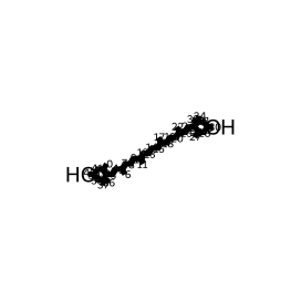 CC1=C(/C=C/C(C)=C/C=C/C(C)=C/C=C/C=C(C)/C=C/C=C(C)/C=C/C2C(C)CC(O)CC2(C)C)C(C)(C)CC(O)C1